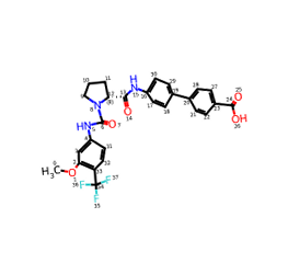 COc1cc(NC(=O)N2CCC[C@@H]2C(=O)Nc2ccc(-c3ccc(C(=O)O)cc3)cc2)ccc1C(F)(F)F